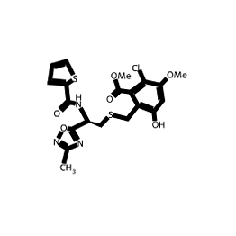 COC(=O)c1c(Cl)c(OC)cc(O)c1CSC[C@H](NC(=O)c1cccs1)c1nc(C)no1